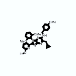 CCOc1cccc(-c2nc3nc(CC4CC4)c(NCc4ccc(OC)cc4)nc3n2-c2c(OC)cccc2OC)n1